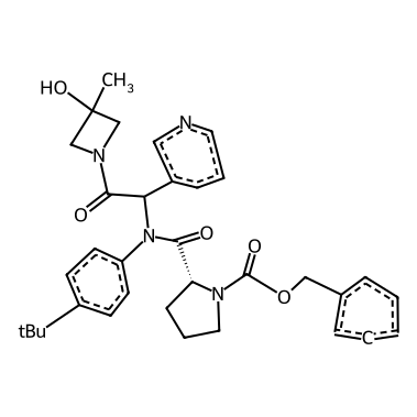 CC1(O)CN(C(=O)C(c2cccnc2)N(C(=O)[C@H]2CCCN2C(=O)OCc2ccccc2)c2ccc(C(C)(C)C)cc2)C1